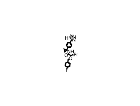 CC(C)C(OCc1ccc(F)cc1)C(=O)NC1(c2ccc(-c3nnn[nH]3)cc2)CC1